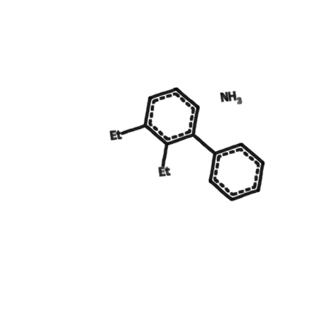 CCc1cccc(-c2ccccc2)c1CC.N